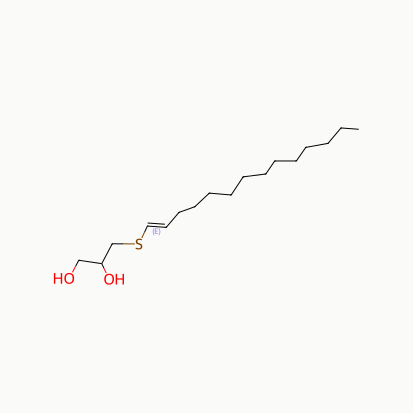 CCCCCCCCCCCC/C=C/SCC(O)CO